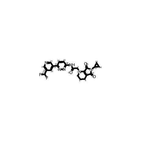 O=C(CN1CCCC2=C1C(=O)N(C1CC1)C2=O)Nc1ccc(-c2cncc(C(F)F)c2)nn1